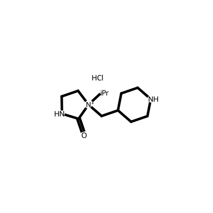 CC(C)[N+]1(CC2CCNCC2)CCNC1=O.Cl